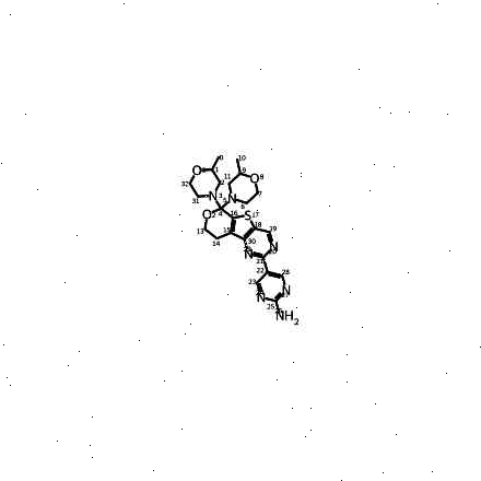 CC1CN(C2(N3CCOC(C)C3)OCCc3c2sc2cnc(-c4cnc(N)nc4)nc32)CCO1